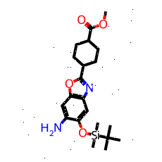 COC(=O)C1CCC(c2nc3cc(O[Si](C)(C)C(C)(C)C)c(N)cc3o2)CC1